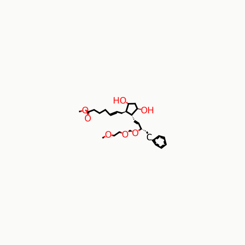 COCCOCO[C@H](/C=C/[C@@H]1[C@@H](C/C=C/CCCC(=O)OC)[C@@H](O)C[C@H]1O)CCc1ccccc1